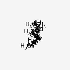 CNC(=O)c1ccc(-c2cnn3ccc(C(=O)N(C)c4ccc(Cl)c(C(=O)OC(C)(C)C)c4)cc23)cc1